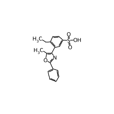 CCc1ccc(S(=O)(=O)O)cc1-c1nc(-c2ccccc2)oc1C